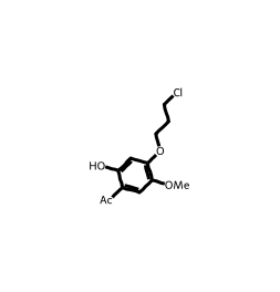 COc1cc(C(C)=O)c(O)cc1OCCCCl